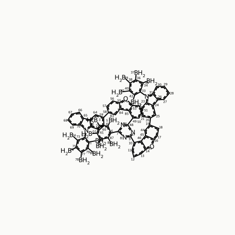 Bc1c(B)c(B)c(-c2nc(-c3cccc4oc5ccc(-c6ccc7c(c6)c6ccccc6n7-c6c(B)c(B)c(B)c(B)c6B)cc5c34)nc(-c3cccc4oc5ccc(-c6ccc7c(c6)c6ccccc6n7-c6c(B)c(B)c(B)c(B)c6B)cc5c34)n2)c(B)c1B